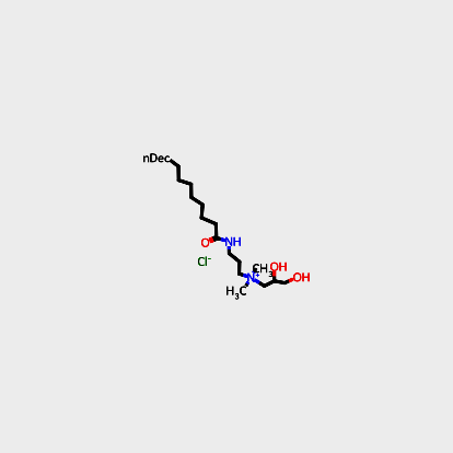 CCCCCCCCCCCCCCCCCC(=O)NCCC[N+](C)(C)CC(O)CO.[Cl-]